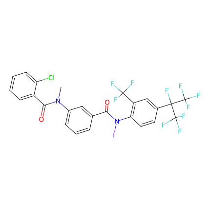 CN(C(=O)c1ccccc1Cl)c1cccc(C(=O)N(I)c2ccc(C(F)(C(F)(F)F)C(F)(F)F)cc2C(F)(F)F)c1